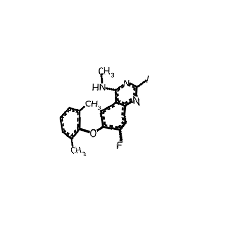 CNc1nc(I)nc2cc(F)c(Oc3c(C)cccc3C)cc12